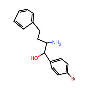 NC(CCc1ccccc1)C(O)c1ccc(Br)cc1